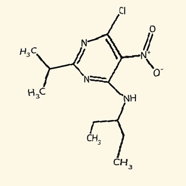 CCC(CC)Nc1nc(C(C)C)nc(Cl)c1[N+](=O)[O-]